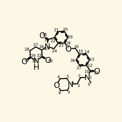 CN(CCN1CCOCC1)C(=O)c1ccc(COc2cccc3c2CN(C2CCC(=O)NC2=O)C3=O)cc1